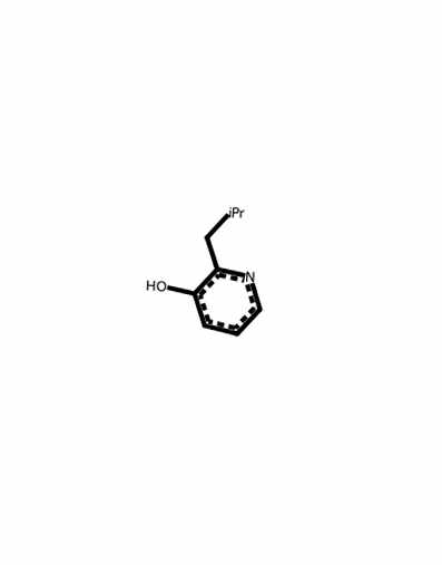 CC(C)Cc1ncccc1O